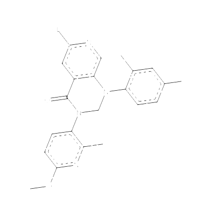 COc1ccc(N2CN(c3ccc(F)cc3C)c3cnc(Cl)cc3C2=O)c(C)n1